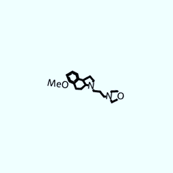 COc1cccc2c1CCC1C2CCN1CCCN1CCOCC1